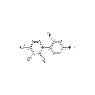 O=c1c(Cl)c(Cl)cnn1-c1ccc(F)cc1F